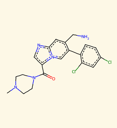 CN1CCN(C(=O)c2cnc3cc(CN)c(-c4ccc(Cl)cc4Cl)cn23)CC1